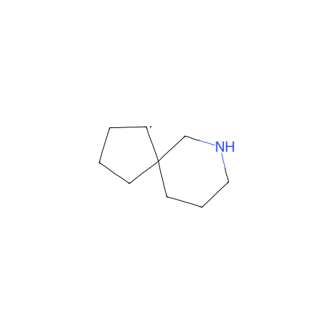 [CH]1CCCC12CCCNC2